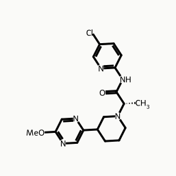 COc1cnc(C2CCCN([C@@H](C)C(=O)Nc3ccc(Cl)cn3)C2)cn1